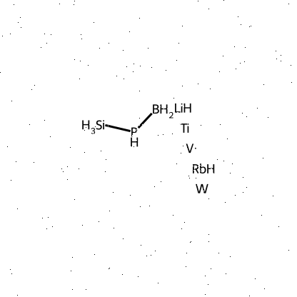 BP[SiH3].[LiH].[RbH].[Ti].[V].[W]